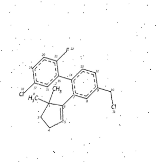 CC1(C)CCC=C1c1cc(CCl)ccc1-c1cc(Cl)ccc1F